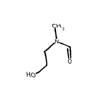 CN(C=O)CCO